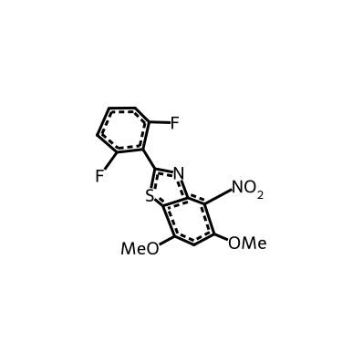 COc1cc(OC)c2sc(-c3c(F)cccc3F)nc2c1[N+](=O)[O-]